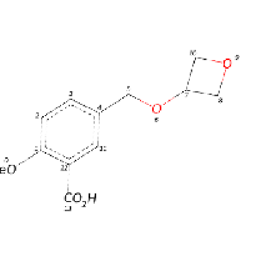 COc1ccc(COC2COC2)cc1C(=O)O